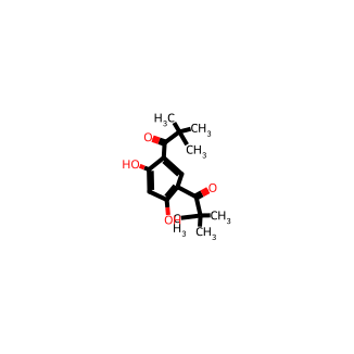 CC(C)(C)C(=O)c1cc(C(=O)C(C)(C)C)c(O)cc1O